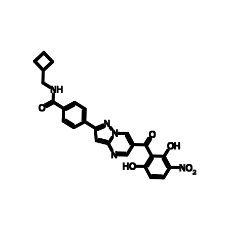 O=C(NCC1CCC1)c1ccc(-c2cc3ncc(C(=O)c4c(O)ccc([N+](=O)[O-])c4O)cn3n2)cc1